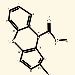 COC(=O)N1c2ccccc2Sc2ccc(S)cc21